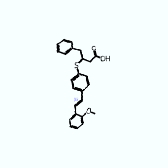 COc1ccccc1/C=C/c1ccc(SC(CC(=O)O)Cc2ccccc2)cc1